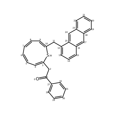 O=C(Cc1ccccccc(Cc2cccc3cc4ccccc4cc23)s1)c1ccccc1